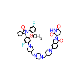 COc1cc(N2CCC(CN3CCN(CC4CCN(c5ccc6c(c5)CN(C5CCC(=O)NC5=O)C6=O)CC4)CC3)CC2)c(F)cc1[C@@H]1N(c2cccc(F)c2)C(=O)C12CCCC2